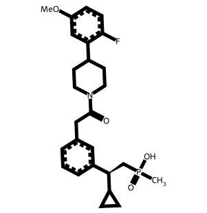 COc1ccc(F)c(C2CCN(C(=O)Cc3cccc([C@@H](CP(C)(=O)O)C4CC4)c3)CC2)c1